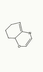 C1=COC2CCCC=C2[N]1